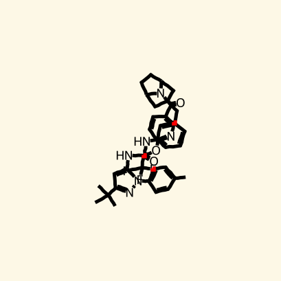 Cc1ccc(-n2nc(C(C)(C)C)cc2NC(=O)Nc2cccc(CC3CC4CCC(C3)N4C(=O)c3ccc(OCC(F)(F)F)nc3)c2)cc1